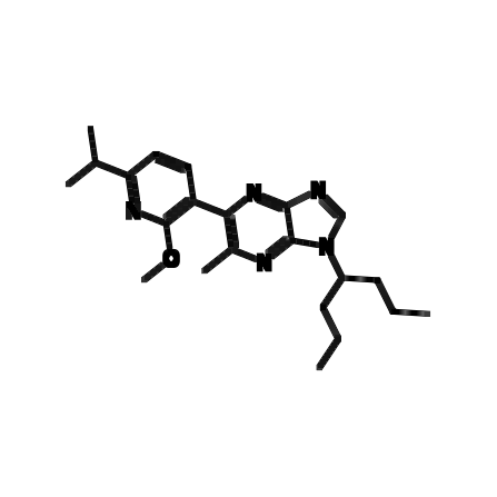 CCCC(CCC)n1cnc2nc(-c3ccc(C(C)C)nc3OC)c(C)nc21